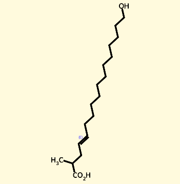 CC(C/C=C/CCCCCCCCCCCCO)C(=O)O